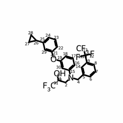 O[C@H](CN(Cc1cccc(C(F)(F)C(F)(F)F)c1)c1cccc(Oc2cccc(C3CC3)c2)c1)C(F)(F)F